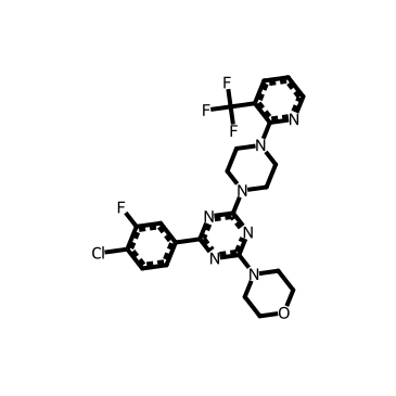 Fc1cc(-c2nc(N3CCOCC3)nc(N3CCN(c4ncccc4C(F)(F)F)CC3)n2)ccc1Cl